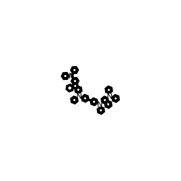 c1ccc(N(c2ccccc2)c2ccc3c(c2)C2(CCCCC2)c2cc(N(c4ccccc4)c4ccc(-c5ccc(N(c6ccccc6)c6ccc(N(c7ccccc7)c7ccccc7)c7ccccc67)cc5)cc4)ccc2-3)cc1